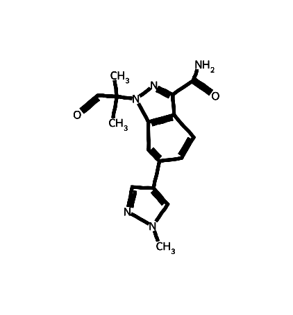 Cn1cc(-c2ccc3c(C(N)=O)nn(C(C)(C)C=O)c3c2)cn1